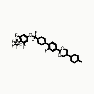 CC1CCC(C2COC(c3ccc(C4CCC(C(F)(F)Oc5cc(F)c(S(F)(F)(F)(F)F)c(F)c5)CC4)c(F)c3)OC2)CC1